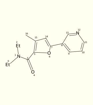 CCN(CC)C(=O)c1oc(-c2cccnc2)cc1C